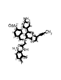 CC#Cc1cnc2c(N(CC(=O)Nc3c(N)ccc(F)c3F)Cc3ccc(OC)cc3)cc(-c3cnc(N)nc3)nn12